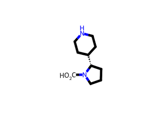 O=C(O)N1CCC[C@H]1C1CCNCC1